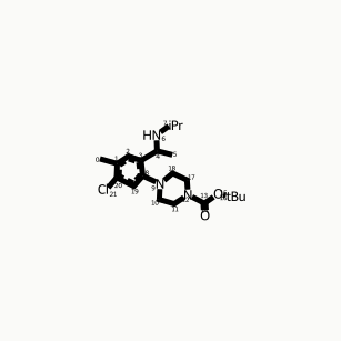 Cc1cc(C(C)NC(C)C)c(N2CCN(C(=O)OC(C)(C)C)CC2)cc1Cl